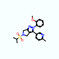 COc1ccccc1-n1nc2c(c1-c1ccc(C)nc1)CN(S(=O)(=O)C(C)C)C2